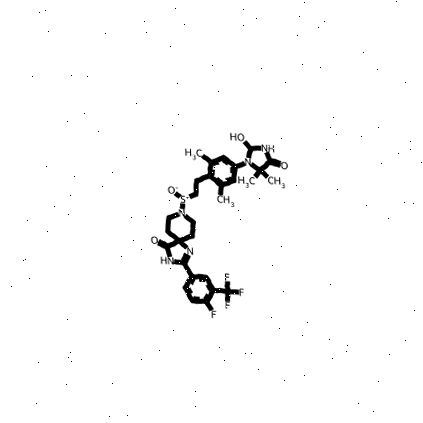 Cc1cc(N2C(O)NC(=O)C2(C)C)cc(C)c1CC[S+]([O-])N1CCC2(CC1)N=C(c1ccc(F)c(C(F)(F)F)c1)NC2=O